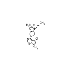 CCCCN(C1CCN(c2ncnc3c2c(Cl)cn3C)CC1)S(N)(=O)=O